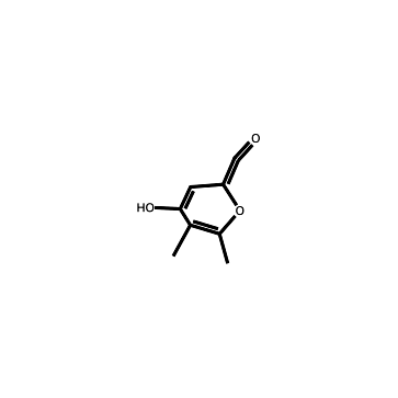 CC1=C(C)C(O)=CC(=C=O)O1